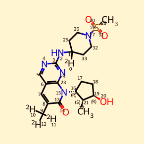 [2H]C1(Nc2ncc3cc(C([2H])([2H])[2H])c(=O)n([C@@H]4CC[C@@H](O)[C@H]4C)c3n2)CCN(S(C)(=O)=O)CC1